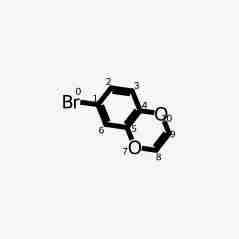 Brc1ccc2c(c1)OC=CO2